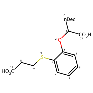 CCCCCCCCCCC(Oc1ccccc1SCCC(=O)O)C(=O)O